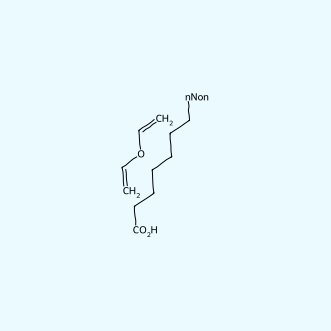 C=COC=C.CCCCCCCCCCCCCCCC(=O)O